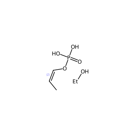 C/C=C\OP(=O)(O)O.CCO